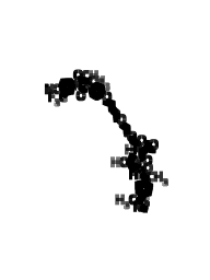 Cc1ncsc1-c1ccc([C@H](C)NC(=O)[C@@H]2C[C@@H](O)CN2C(=O)[C@H](NC(=O)COCCCOCCCCCOc2ccc(N3C(=O)N(c4ccc(C#N)c(C(F)(F)F)c4)C(=O)C3(C)C)cc2)C2COC2)cc1